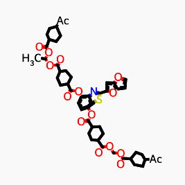 CC(=O)C1CCC(C(=O)OCOC(=O)C2CCC(C(=O)Oc3ccc(OC(=O)C4CCC(C(=O)OC(C)OC(=O)C5CCC(C(C)=O)CC5)CC4)c4nc(-c5cc6occc6o5)sc34)CC2)CC1